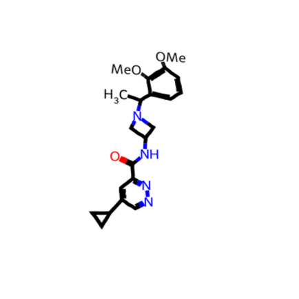 COc1cccc(C(C)N2CC(NC(=O)c3cc(C4CC4)cnn3)C2)c1OC